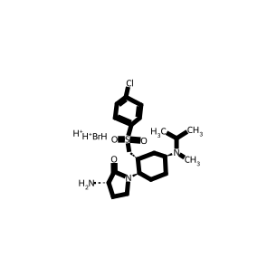 Br.CC(C)N(C)[C@@H]1CC[C@H](N2CC[C@H](N)C2=O)[C@H](CS(=O)(=O)c2ccc(Cl)cc2)C1.[H+].[H+]